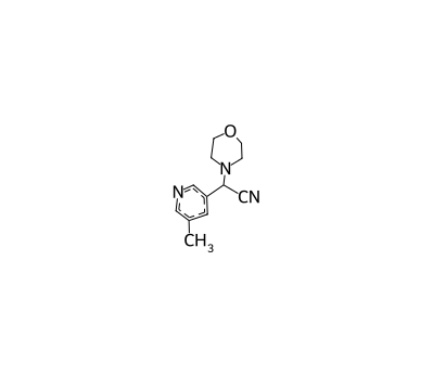 Cc1cncc(C(C#N)N2CCOCC2)c1